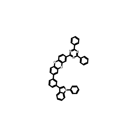 c1ccc(-c2nc(-c3ccccc3)nc(-c3ccc4c(c3)Oc3cc(-c5cccc(-c6cn(-c7ccccc7)c7ccccc67)c5)ccc3O4)n2)cc1